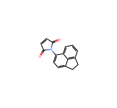 O=C1C=CC(=O)N1c1ccc2c3c(cccc13)CC2